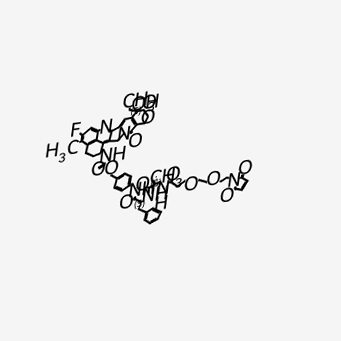 CC[C@@]1(O)C(=O)OCc2c1cc1n(c2=O)Cc2c-1nc1cc(F)c(C)c3c1c2C(NC(=O)OCc1ccc(NC(=O)[C@H](Cc2ccccc2)NC(=O)[C@H](C)NC(=O)CCOCCOCCN2C(=O)C=CC2=O)cc1)CC3